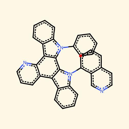 c1ccc(-n2c3ccccc3c3c4ncccc4c4c5ccccc5n(-c5cccc6ccncc56)c4c32)cc1